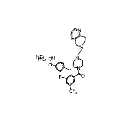 Cl.Cl.Cl.O=C(c1cc(F)cc(C(F)(F)F)c1)N1CCN(CCN2CCc3ncccc3C2)C[C@H]1Cc1ccc(Cl)cc1